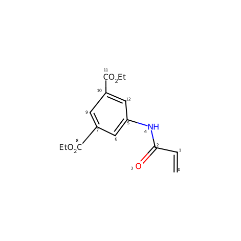 C=CC(=O)Nc1cc(C(=O)OCC)cc(C(=O)OCC)c1